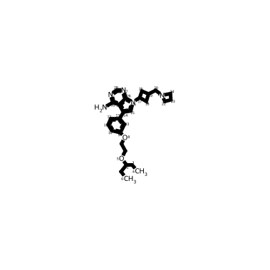 CCC(CC)OCCOc1cccc(-c2cn(C3CC(CN4CCC4)C3)c3ncnc(N)c23)c1